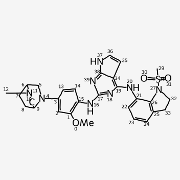 COc1cc(N2CC3CCC2CN3C)ccc1Nc1nc(Nc2cccc3c2N(S(C)(=O)=O)CC3)c2cc[nH]c2n1